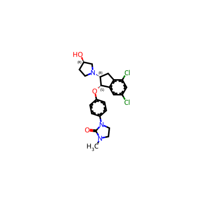 CN1CCN(c2ccc(O[C@H]3c4cc(Cl)cc(Cl)c4C[C@H]3N3CC[C@@H](O)C3)cc2)C1=O